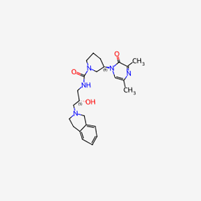 Cc1cn([C@@H]2CCCN(C(=O)NC[C@H](O)CN3CCc4ccccc4C3)C2)c(=O)c(C)n1